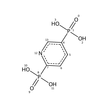 O=P(O)(O)c1ccc(P(=O)(O)O)nc1